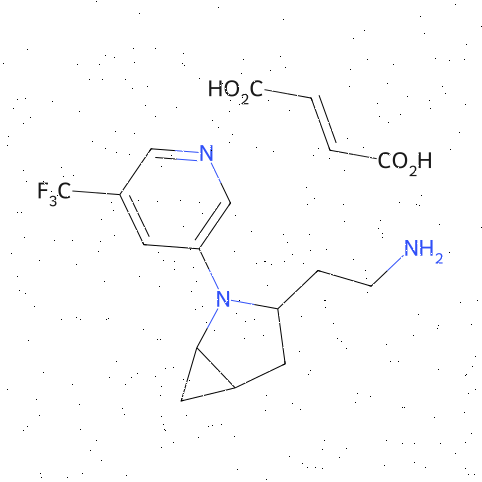 NCCC1CC2CC2N1c1cncc(C(F)(F)F)c1.O=C(O)C=CC(=O)O